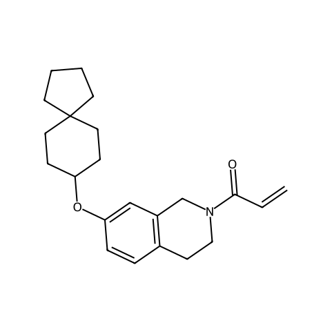 C=CC(=O)N1CCc2ccc(OC3CCC4(CCCC4)CC3)cc2C1